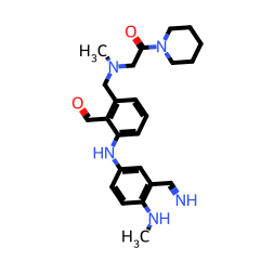 CNc1ccc(Nc2cccc(CN(C)CC(=O)N3CCCCC3)c2C=O)cc1C=N